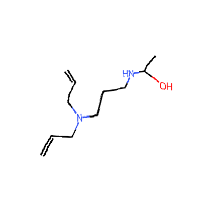 C=CCN(CC=C)CCCNC(C)O